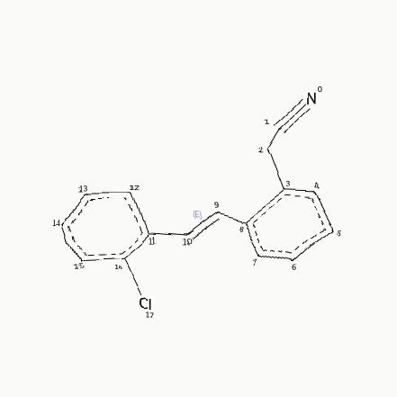 N#CCc1ccccc1/C=C/c1ccccc1Cl